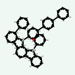 c1ccc(-c2ccc(-c3ccc(-n4c5c(-c6ccccc6)cccc5c5ccc6c7ccccc7n(-c7ccccc7)c6c54)cc3)cc2)cc1